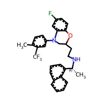 Cc1ccc(N2CC(CCN[C@H](C)c3cccc4ccccc34)Oc3ccc(F)cc32)cc1C(F)(F)F